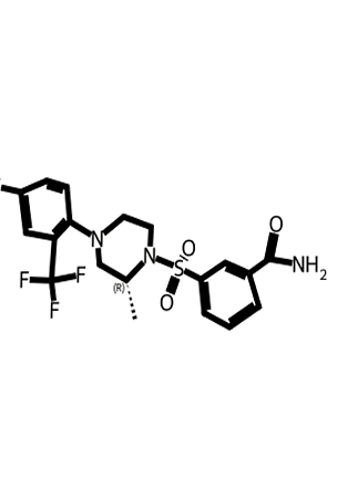 C[C@@H]1CN(c2ccc(F)cc2C(F)(F)F)CCN1S(=O)(=O)c1cccc(C(N)=O)c1